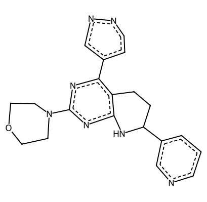 c1cncc(C2CCc3c(nc(N4CCOCC4)nc3-c3ccnnc3)N2)c1